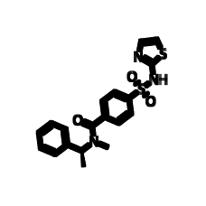 C[C@@H](c1ccccc1)N(C)C(=O)c1ccc(S(=O)(=O)Nc2nccs2)cc1